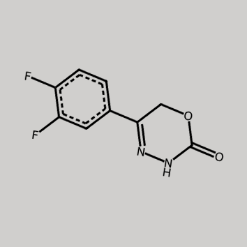 O=C1NN=C(c2ccc(F)c(F)c2)CO1